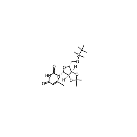 Cc1cc(=O)[nH]c(=O)n1[C@@H]1O[C@H](CO[Si](C)(C)C(C)(C)C)[C@H]2OC(C)(C)O[C@H]21